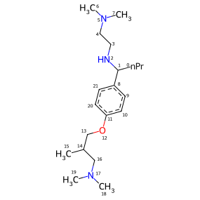 CCCC(NCCN(C)C)c1ccc(OCC(C)CN(C)C)cc1